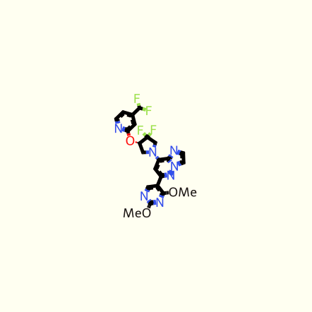 COc1ncc(-c2cc(N3C[C@H](Oc4cc(C(F)F)ccn4)C(F)(F)C3)c3nccn3n2)c(OC)n1